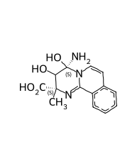 C[C@]1(C(=O)O)N=C2c3ccccc3C=CN2[C@](N)(O)C1O